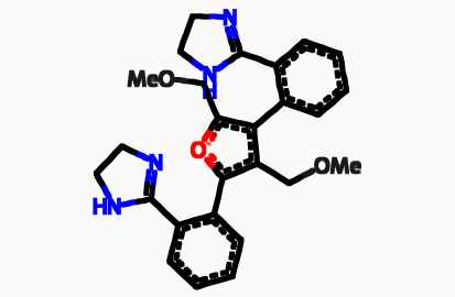 COCc1oc(-c2ccccc2C2=NCCN2)c(COC)c1-c1ccccc1C1=NCCN1